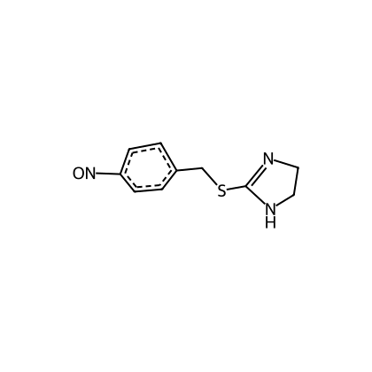 O=Nc1ccc(CSC2=NCCN2)cc1